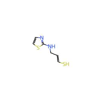 SC=CCNc1nccs1